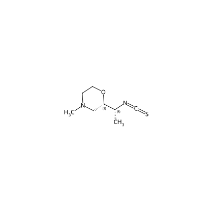 C[C@@H](N=C=S)[C@@H]1CN(C)CCO1